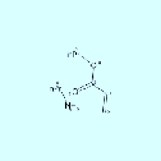 C=CC(=O)OCCC.CCCN